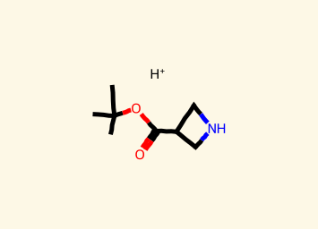 CC(C)(C)OC(=O)C1CNC1.[H+]